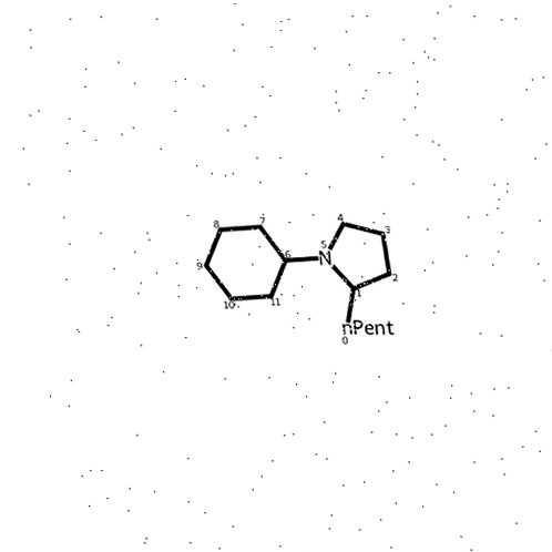 CCCCCC1CCCN1C1CCCCC1